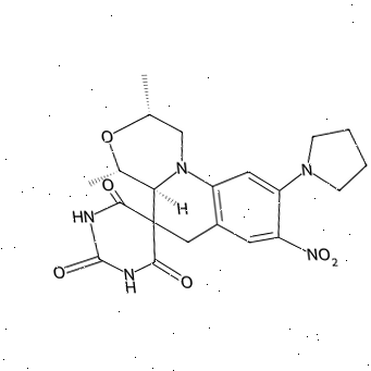 C[C@@H]1CN2c3cc(N4CCCC4)c([N+](=O)[O-])cc3CC3(C(=O)NC(=O)NC3=O)[C@H]2[C@H](C)O1